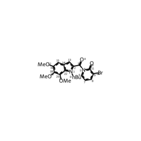 CCCCn1c(C(=O)n2cccc(Br)c2=O)cc2cc(OC)c(OC)c(OC)c21